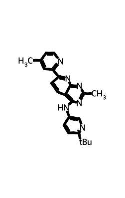 Cc1ccnc(-c2ccc3c(Nc4ccc(C(C)(C)C)nc4)nc(C)nc3n2)c1